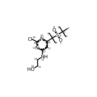 CC(C)(C)S(=O)(=O)C(C)(C)c1cc(NCCO)nc(Cl)n1